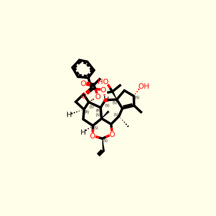 C=C[C@@H]1OC2[C@@H](C)C3=C(C)[C@@H](O)C[C@@]3(C(C)(C)O)[C@@H](OC(=O)c3ccccc3)[C@@H]3[C@]4(OC(C)=O)CC[C@@H]4C[C@H](O1)[C@@]23C